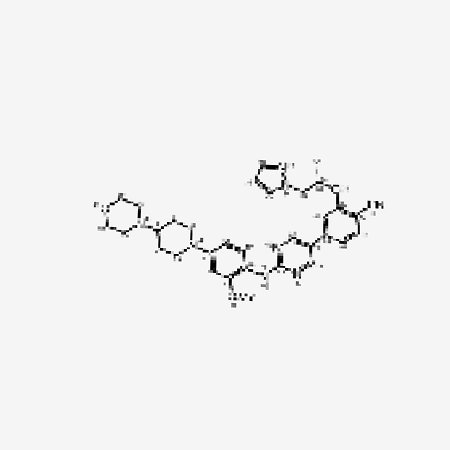 COc1cc(N2CCC(N3CCOCC3)CC2)ccc1Nc1ncc(-c2ccc(C#N)c(O[C@@H](C)Cn3cccn3)c2)cn1